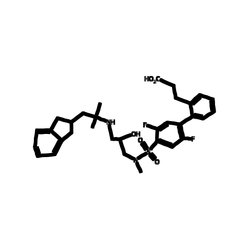 CN(CC(O)CNC(C)(C)CC1Cc2ccccc2C1)S(=O)(=O)c1cc(F)c(-c2ccccc2CCC(=O)O)cc1F